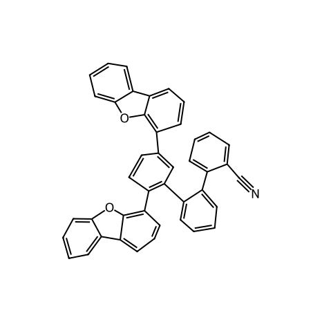 N#Cc1ccccc1-c1ccccc1-c1cc(-c2cccc3c2oc2ccccc23)ccc1-c1cccc2c1oc1ccccc12